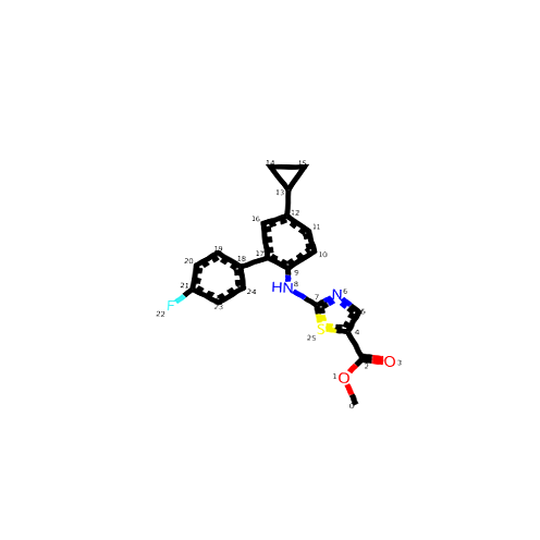 COC(=O)c1cnc(Nc2ccc(C3CC3)cc2-c2ccc(F)cc2)s1